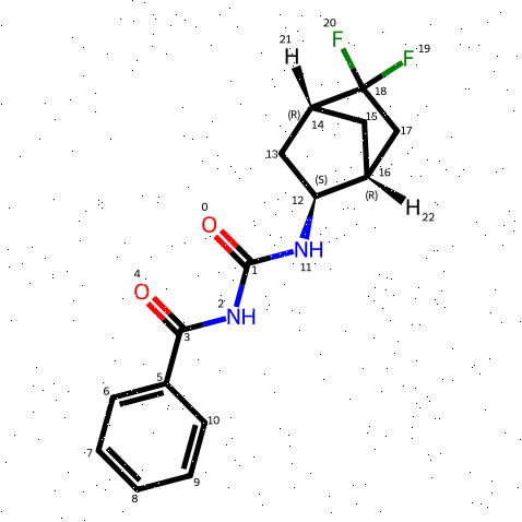 O=C(NC(=O)c1ccccc1)N[C@H]1C[C@H]2C[C@@H]1CC2(F)F